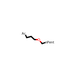 CCCCCCOCCCC(C)=O